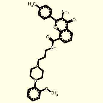 COc1ccccc1N1CCN(CCCNC(=O)c2cccc3c(=O)c(C)c(-c4ccc(C)cc4)oc23)CC1